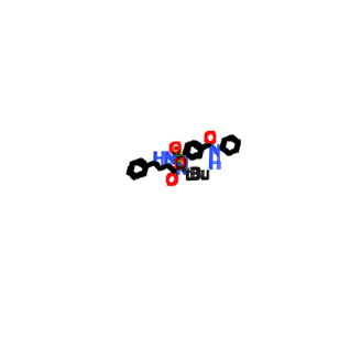 CC(C)(C)NC(=O)C(CCc1ccccc1)NS(=O)(=O)c1ccc(C(=O)NC2CCCCC2)cc1